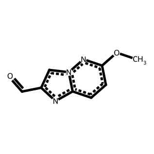 COc1ccc2nc(C=O)cn2n1